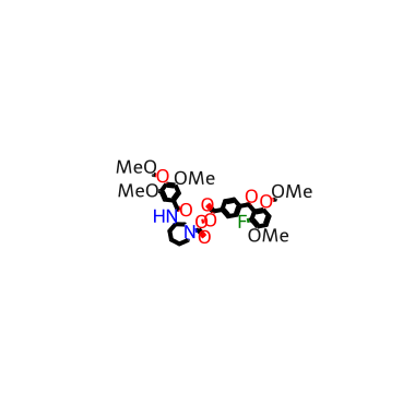 COCOc1ccc(OC)c(F)c1C(=O)c1ccc(C(=O)OOC(=O)N2CCCCC(NC(=O)c3cc(OC)c(OCOC)c(OC)c3)C2)cc1